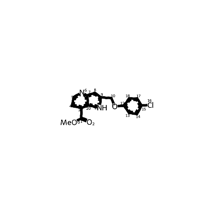 COC(=O)c1ccnc2cc(COc3ccc(Cl)cc3)[nH]c12